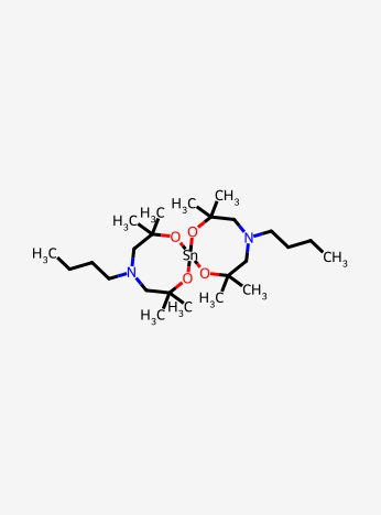 CCCCN1CC(C)(C)[O][Sn]2([O]C(C)(C)C1)[O]C(C)(C)CN(CCCC)CC(C)(C)[O]2